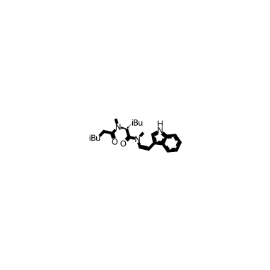 CCC(C)CC(=O)N(C)[C@H](C(=O)N(C)/C=C\c1c[nH]c2ccccc12)[C@@H](C)CC